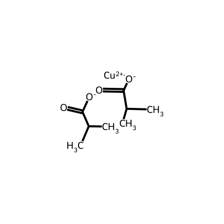 CC(C)C(=O)[O-].CC(C)C(=O)[O-].[Cu+2]